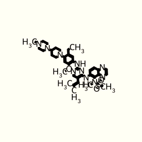 CCc1cc(Nc2ncc(C=C(C)C)c(Nc3ccc4nccnc4c3N(C)S(C)(=O)=O)n2)c(OC)cc1N1CCC(N2CCN(C)CC2)CC1